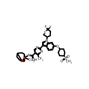 CS(=O)(=O)C1CCC(Oc2ccc3c(-c4ncc(C(=O)NC5(C(=O)O)C6CCC7CC(C6)CC5C7)c(C(F)(F)F)n4)cn(C4CCC(F)(F)CC4)c3c2)CC1